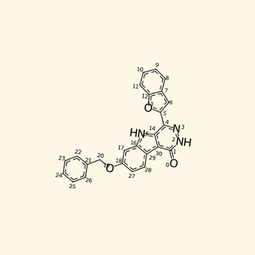 O=c1[nH]nc(-c2cc3ccccc3o2)c2[nH]c3cc(OCc4ccccc4)ccc3c12